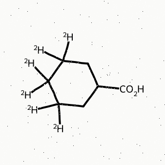 [2H]C1([2H])CC(C(=O)O)CC([2H])([2H])C1([2H])[2H]